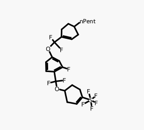 CCCCCC1CC=C(C(F)(F)Oc2ccc(C(F)(F)OC3CC=C(S(F)(F)(F)(F)F)CC3)c(F)c2)CC1